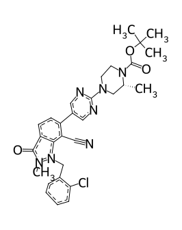 C[C@@H]1CN(c2ncc(-c3ccc4c(=O)n(C)n(Cc5ccccc5Cl)c4c3C#N)cn2)CCN1C(=O)OC(C)(C)C